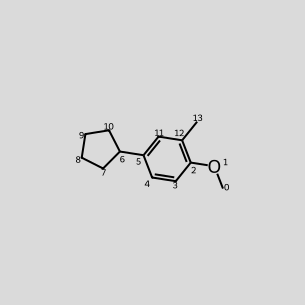 COc1ccc(C2CCCC2)cc1C